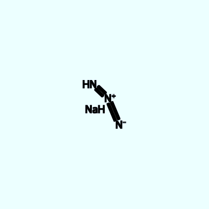 [N-]=[N+]=N.[NaH]